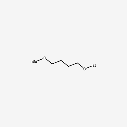 [CH2]COCCCCOCCCC